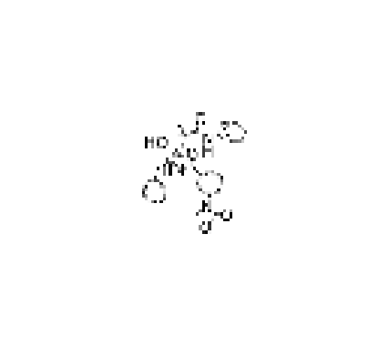 C[C@H](C[C@@H](O)[C@H](Cc1ccccc1)NC(=O)c1cccc(N2CCOC2=O)c1)C(=O)NC1CC2CCC1C2